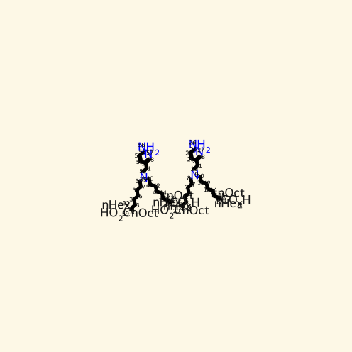 CCCCCCCCC(CCCCCC)(CCCCCCN(CCCCCCC(CCCCCC)(CCCCCCCC)C(=O)O)CCc1ccc(N)nc1)C(=O)O.CCCCCCCCC(CCCCCC)(CCCCCCN(CCCCCCC(CCCCCC)(CCCCCCCC)C(=O)O)CCc1ccc(N)nc1)C(=O)O